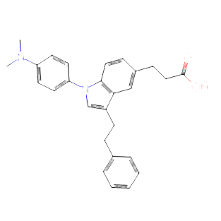 CN(C)c1ccc(-n2cc(CCc3ccccc3)c3cc(CCC(=O)O)ccc32)cc1